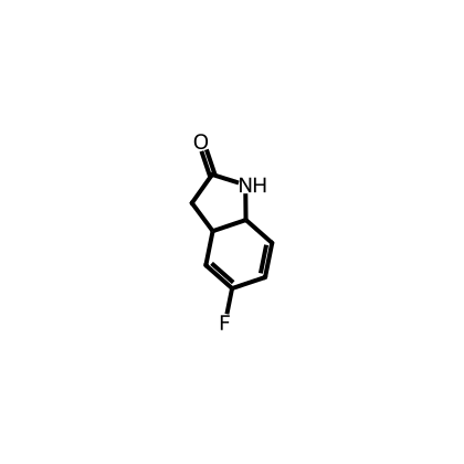 O=C1CC2C=C(F)C=CC2N1